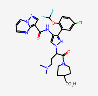 CN(C)CCC(C(=O)N1CCC(C(=O)O)CC1)n1cc(NC(=O)c2cnn3cccnc23)c(-c2cc(Cl)ccc2OC(F)F)n1